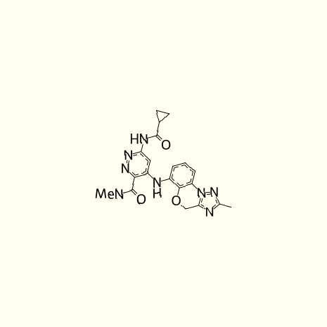 CNC(=O)c1nnc(NC(=O)C2CC2)cc1Nc1cccc2c1OCc1nc(C)nn1-2